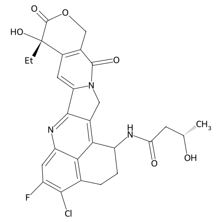 CC[C@@]1(O)C(=O)OCc2c1cc1n(c2=O)Cc2c-1nc1cc(F)c(Cl)c3c1c2C(NC(=O)C[C@H](C)O)CC3